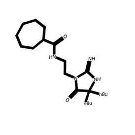 CCCCC1(CCCC)NC(=N)N(CCNC(=O)C2CCCCCC2)C1=O